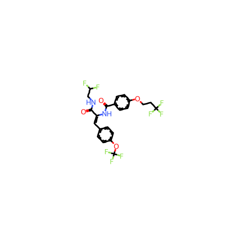 O=C(NCC(F)F)C(=Cc1ccc(OC(F)(F)F)cc1)NC(=O)c1ccc(OCCC(F)(F)F)cc1